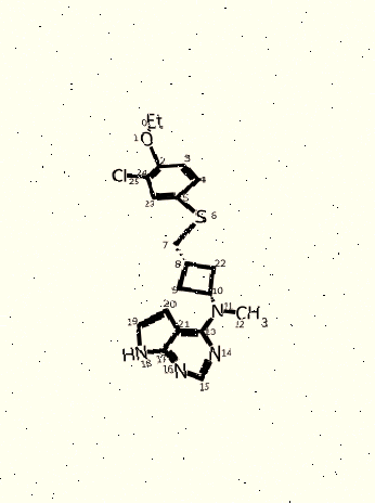 CCOc1ccc(SC[C@H]2C[C@@H](N(C)c3ncnc4[nH]ccc34)C2)cc1Cl